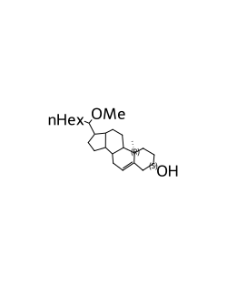 CCCCCCC(OC)C1CCC2C1CCC1C2CC=C2C[C@@H](O)CC[C@@]21C